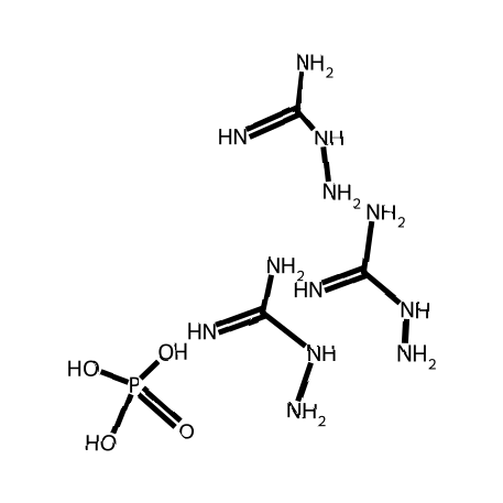 N=C(N)NN.N=C(N)NN.N=C(N)NN.O=P(O)(O)O